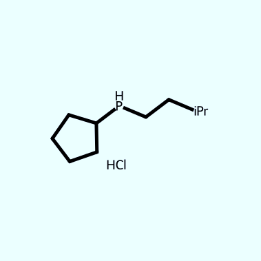 CC(C)CCPC1CCCC1.Cl